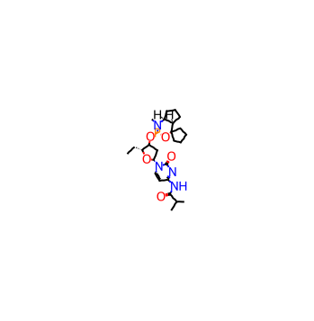 CC[C@H]1O[C@@H](n2ccc(NC(=O)C(C)C)nc2=O)CC1OP1OC2(CCCC2)[C@@H]2CCC[C@@H]2N1C